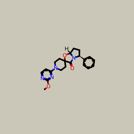 COc1nccc(N2CCC3(CC2)O[C@@H]2CC[C@@H](c4ccccc4)N2C3=O)n1